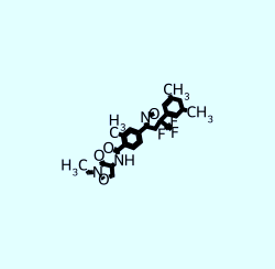 CCN1OCC(NC(=O)c2ccc(C3=NOC(C4=CC(C)CC(C)=C4)(C(F)(F)F)C3)cc2C)C1=O